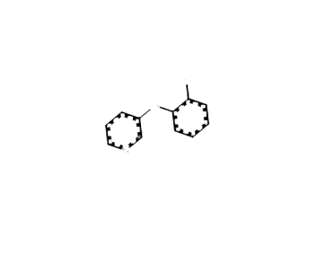 Fc1ccccc1Oc1cccnc1